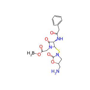 BOC(=O)CN1C(=O)[C@@H](NC(=O)Cc2ccccc2)[C@H]1SN1CC(CN)OC1=O